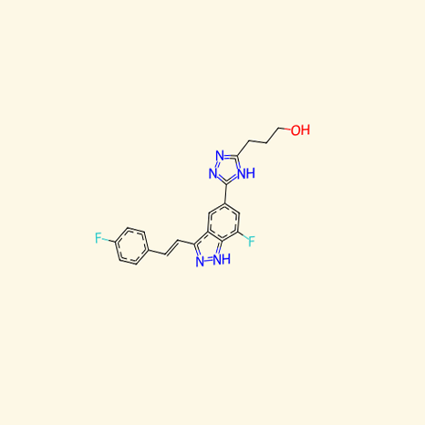 OCCCc1nnc(-c2cc(F)c3[nH]nc(C=Cc4ccc(F)cc4)c3c2)[nH]1